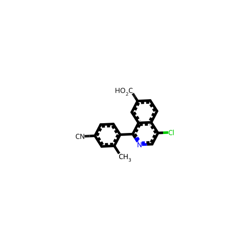 [C-]#[N+]c1ccc(-c2ncc(Cl)c3ccc(C(=O)O)cc23)c(C)c1